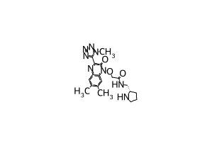 Cc1cc2nc(-c3nnnn3C)c(=O)n(OCC(=O)NC[C@@H]3CCCN3)c2cc1C